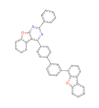 c1ccc(-c2nc(-c3ccc(-c4cccc(-c5cccc6c5oc5ccccc56)c4)cc3)c3c(n2)oc2ccccc23)cc1